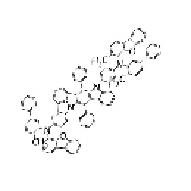 Cc1ccc(-c2ccccc2)cc1N(c1ccc2c(c1)c1cccc3c4c(-c5ccccc5)c5c(c(-c6ccccc6)c4n2c13)c1cccc2c3cc(N(c4cc(-c6ccccc6)ccc4C)c4c(C)ccc6c4oc4ccccc46)ccc3n5c21)c1cccc2c1oc1ccccc12